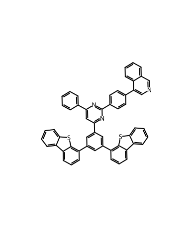 c1ccc(-c2cc(-c3cc(-c4cccc5c4sc4ccccc45)cc(-c4cccc5c4sc4ccccc45)c3)nc(-c3ccc(-c4cncc5ccccc45)cc3)n2)cc1